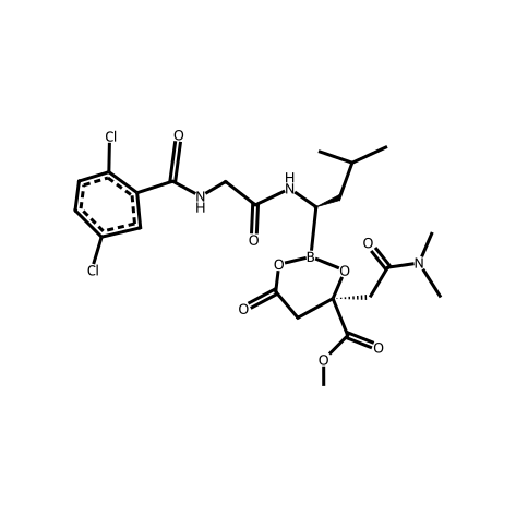 COC(=O)[C@@]1(CC(=O)N(C)C)CC(=O)OB([C@H](CC(C)C)NC(=O)CNC(=O)c2cc(Cl)ccc2Cl)O1